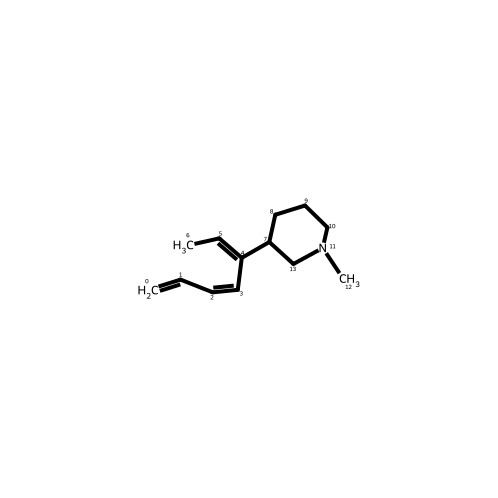 C=C/C=C\C(=C/C)C1CCCN(C)C1